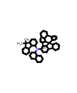 CCc1ccc2cccc3c2c1C1(c2ccccc2-c2ccc(N(c4cccc5c4-c4ccccc4C5(C)C)c4cccc5ccccc45)cc21)c1ccccc1-3